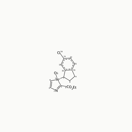 CCOC(=O)C1=NC=C[N+]1([O-])C1CCc2ccc(Cl)cc21